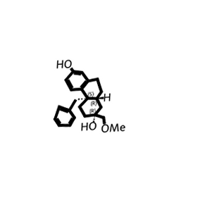 COC[C@@]1(O)CC[C@@]2(Cc3ccccc3)c3ccc(O)cc3CC[C@@H]2C1